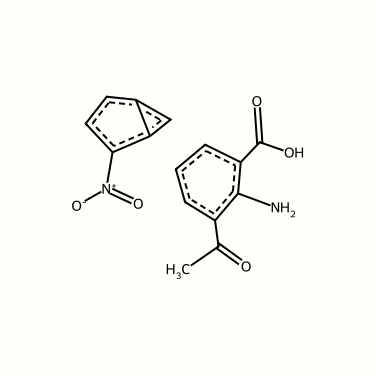 CC(=O)c1cccc(C(=O)O)c1N.O=[N+]([O-])c1ccc2cc1-2